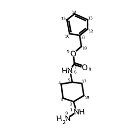 NNC1CCC(NC(=O)OCc2ccccc2)CC1